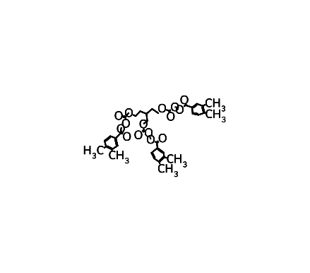 Cc1ccc(C(=O)OOC(=O)OCCC(CCOC(=O)OOC(=O)c2ccc(C)c(C)c2)COC(=O)OOC(=O)c2ccc(C)c(C)c2)cc1C